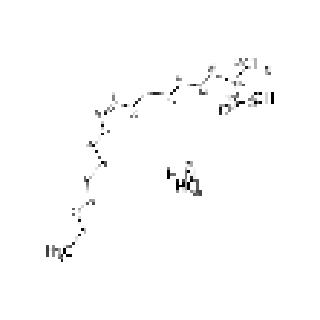 CCCCCCCC/C=C\CCCCCCC(C)C(=O)O.Cl.N